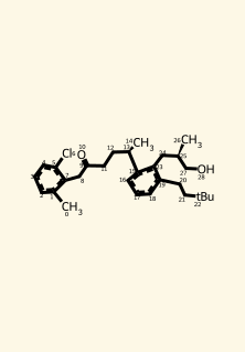 Cc1cccc(Cl)c1CC(=O)CC[C@@H](C)c1cccc(CCC(C)(C)C)c1C[C@@H](C)CO